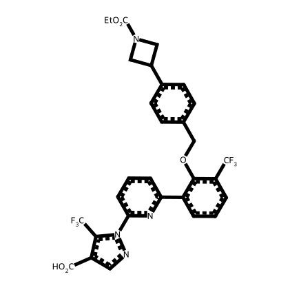 CCOC(=O)N1CC(c2ccc(COc3c(-c4cccc(-n5ncc(C(=O)O)c5C(F)(F)F)n4)cccc3C(F)(F)F)cc2)C1